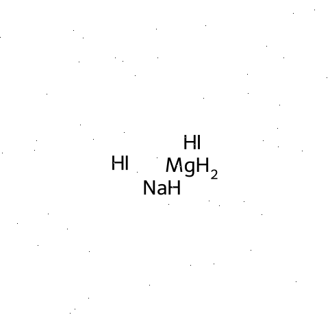 I.I.[MgH2].[NaH]